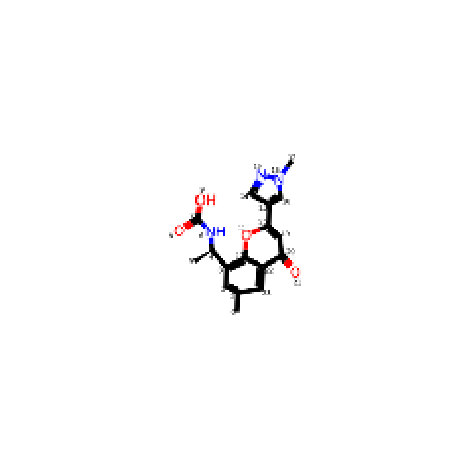 Cc1cc([C@@H](C)NC(=O)O)c2oc(-c3cnn(C)c3)cc(=O)c2c1